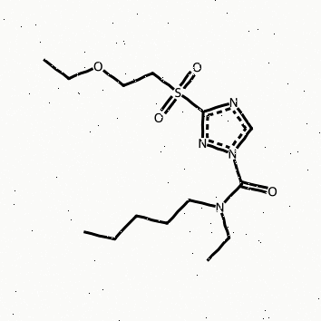 CCCCCN(CC)C(=O)n1cnc(S(=O)(=O)CCOCC)n1